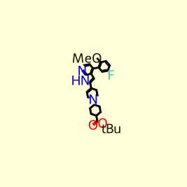 COc1ccc(F)cc1-c1ccnc2[nH]c(C3=CCN(C4CCC(C(=O)OC(C)(C)C)CC4)CC3)cc12